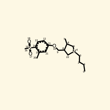 CCCCN1CC(C)C(COc2ccc(S(C)(=O)=O)c(C)c2)C1